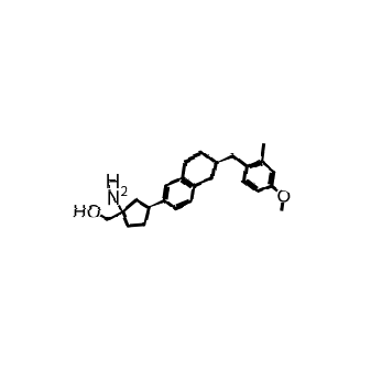 COc1ccc(C[C@@H]2CCc3cc([C@H]4CC[C@](N)(CO)C4)ccc3C2)c(C)c1